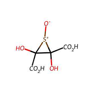 O=C(O)C1(O)[S+]([O-])C1(O)C(=O)O